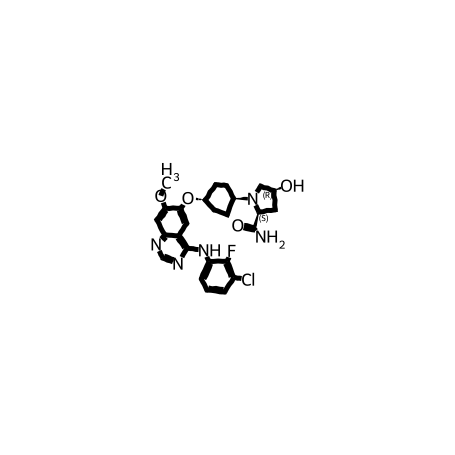 COc1cc2ncnc(Nc3cccc(Cl)c3F)c2cc1O[C@H]1CC[C@H](N2C[C@H](O)C[C@H]2C(N)=O)CC1